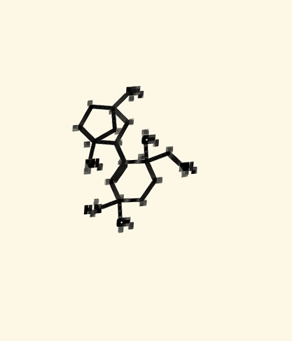 CC1(N)C=C(C2CC3(N)CCC2(N)C3)C(C)(CN)CC1